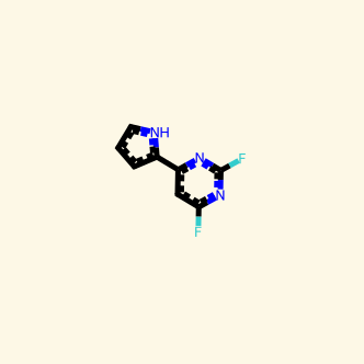 Fc1cc(-c2ccc[nH]2)nc(F)n1